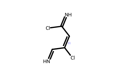 N=C/C(Cl)=C\C(=N)Cl